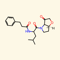 CC(C)CC(NC(=O)CCc1ccccc1)C(=O)N1CC[C@@H]2OCC(=O)C21